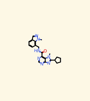 Cn1ncc2cccc(CNC(=O)c3ncnc4nc(C5CCCC5)n(C)c34)c21